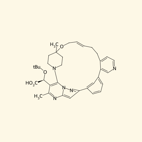 Cc1nc2cc3nn2c(c1[C@H](OC(C)(C)C)C(=O)O)N1CCC(C)(CC1)OC/C=C/CCc1ccncc1-c1cccc-3c1